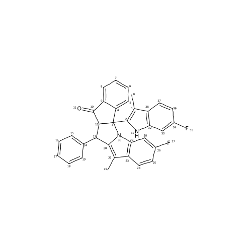 Cc1c(C23c4ccccc4C(=O)C2C(c2ccccc2)c2c(C)c4ccc(F)cc4n23)[nH]c2cc(F)ccc12